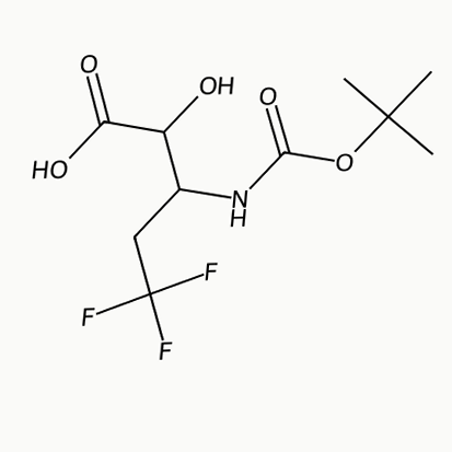 CC(C)(C)OC(=O)NC(CC(F)(F)F)C(O)C(=O)O